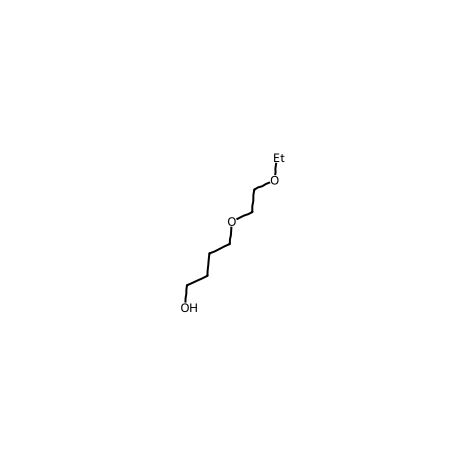 CCOCCOCCCCO